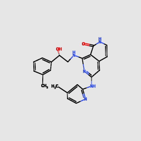 Cc1cccc([C@H](O)CNc2nc(Nc3cc(C)ccn3)cc3cc[nH]c(=O)c23)c1